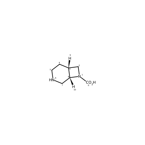 O=C(O)N1C[C@H]2CCNC[C@H]21